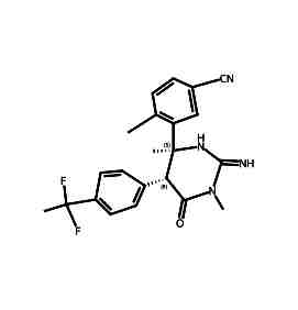 Cc1ccc(C#N)cc1[C@@]1(C)NC(=N)N(C)C(=O)[C@@H]1c1ccc(C(C)(F)F)cc1